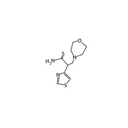 NC(=S)C(CN1CCOCC1)c1cscn1